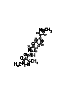 Cc1ncn(C)c(=O)c1C(=O)Nc1ccc(Oc2ccnc(-c3cnn(C)c3)c2)cn1